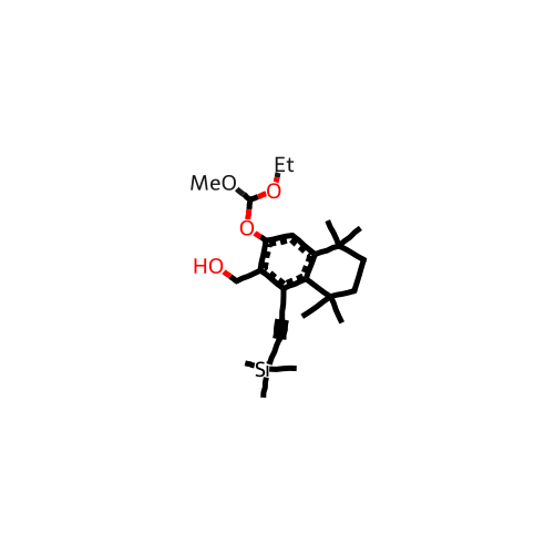 CCOC(OC)Oc1cc2c(c(C#C[Si](C)(C)C)c1CO)C(C)(C)CCC2(C)C